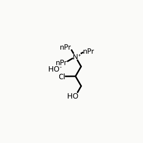 CCC[N+](CCC)(CCC)CC(Cl)CO.[OH-]